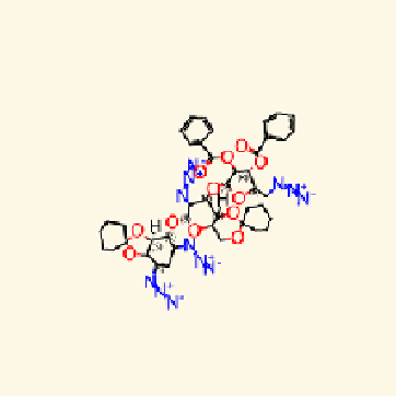 [N-]=[N+]=NC[C@H]1O[C@@H](O[C@@H]2C(N=[N+]=[N-])[C@@H](O[C@@H]3C(N=[N+]=[N-])C[C@@H](N=[N+]=[N-])C4OC5(CCCCC5)O[C@H]43)OC3COC4(CCCCC4)O[C@H]32)C(OC(=O)c2ccccc2)[C@@H]1OC(=O)c1ccccc1